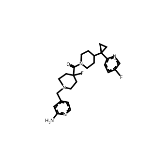 Nc1cc(CN2CCC(F)(C(=O)N3CCC(C4(c5ccc(F)cn5)CC4)CC3)CC2)ccn1